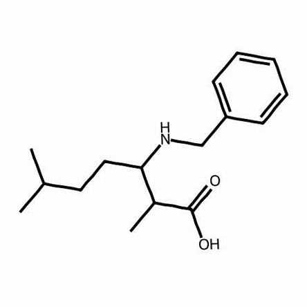 CC(C)CCC(NCc1ccccc1)C(C)C(=O)O